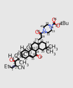 CC/C=C(/C#N)C(=O)C(C)(C)[C@@H]1CC[C@]2(C)C(=CC(=O)C3C4CC(C)(C)CC[C@]4(CCC(=O)N4CCN(C(=O)OC(C)(C)C)CC4)CC[C@]32C)C1